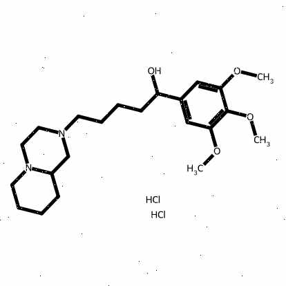 COc1cc(C(O)CCCCN2CCN3CCCCC3C2)cc(OC)c1OC.Cl.Cl